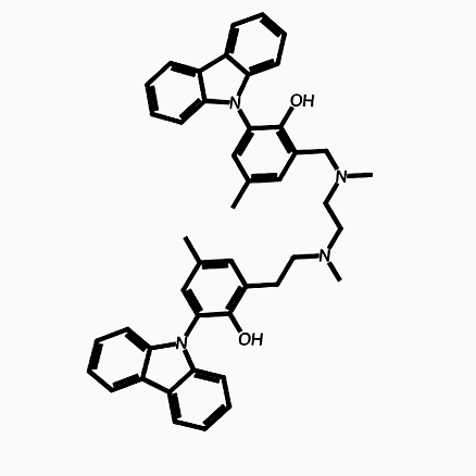 Cc1cc(CCN(C)CCN(C)Cc2cc(C)cc(-n3c4ccccc4c4ccccc43)c2O)c(O)c(-n2c3ccccc3c3ccccc32)c1